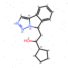 OC(CC1c2ccccc2-c2cnnn21)C1CCCC1